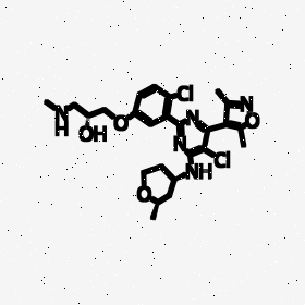 CNC[C@@H](O)COc1ccc(Cl)c(-c2nc(N[C@@H]3CCO[C@H](C)C3)c(Cl)c(-c3c(C)noc3C)n2)c1